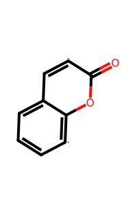 O=c1[c]cc2ccc[c]c2o1